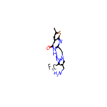 Cc1cc2c(=O)[nH]c(Cn3cc(CN)c(C(F)(F)F)n3)nc2s1